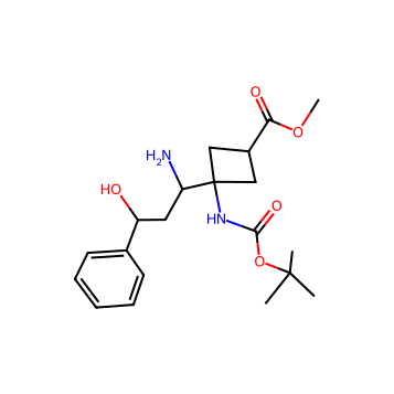 COC(=O)C1CC(NC(=O)OC(C)(C)C)(C(N)CC(O)c2ccccc2)C1